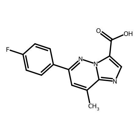 Cc1cc(-c2ccc(F)cc2)nn2c(C(=O)O)cnc12